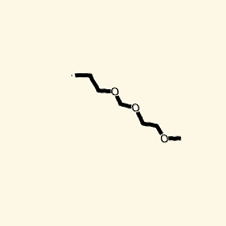 [CH2]CCOCOCCOC